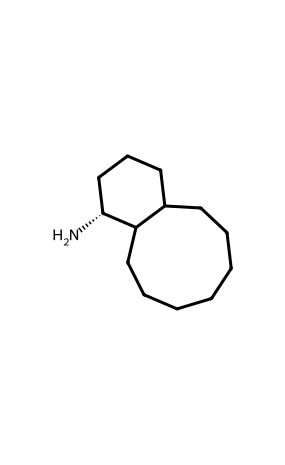 N[C@@H]1CCCC2CCCCCCCC21